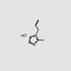 C=CCn1ccnc1C.Cl